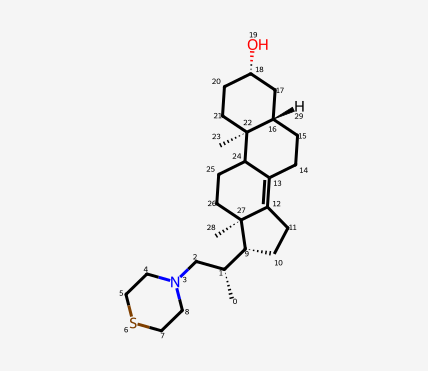 C[C@H](CN1CCSCC1)[C@H]1CCC2=C3CC[C@H]4C[C@@H](O)CC[C@]4(C)C3CC[C@@]21C